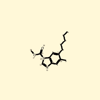 CCCCCc1cc2c(cc1C)ncn2C(=O)OC